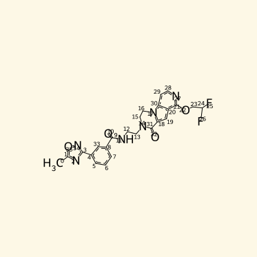 Cc1nc(-c2cccc(C(=O)NCCN3CCn4c(cc5c(OCC(F)F)nccc54)C3=O)c2)no1